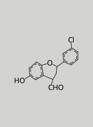 O=CC1CC(c2cccc(Cl)c2)Oc2ccc(O)cc21